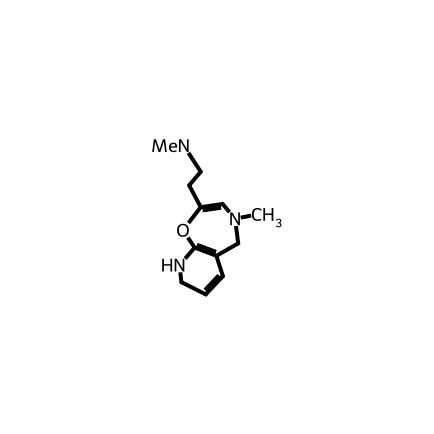 CNCCC1=CN(C)CC2=C(NCC=C2)O1